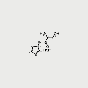 Cl.NC(CO)C(=O)Nn1cccc1